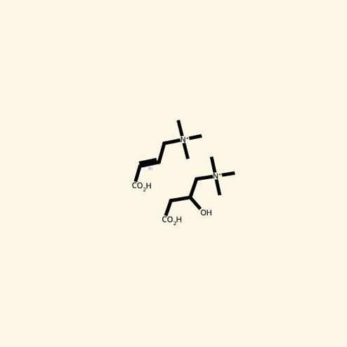 C[N+](C)(C)C/C=C/C(=O)O.C[N+](C)(C)CC(O)CC(=O)O